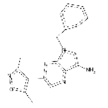 Cc1noc(C)c1-c1cnc2c(N)cn(Cc3ccccc3)c2c1